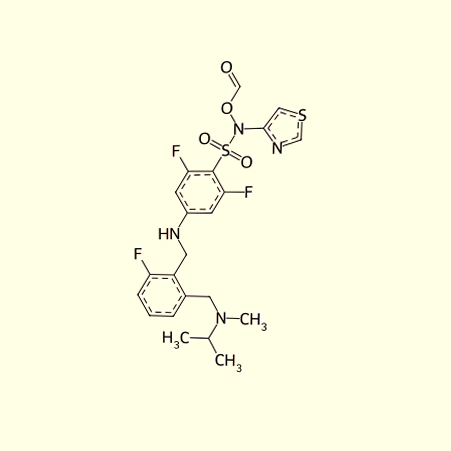 CC(C)N(C)Cc1cccc(F)c1CNc1cc(F)c(S(=O)(=O)N(OC=O)c2cscn2)c(F)c1